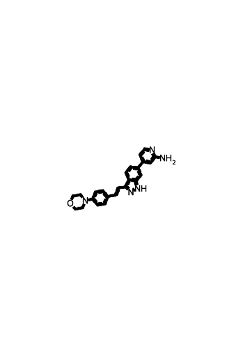 Nc1cc(-c2ccc3c(/C=C/c4ccc(N5CCOCC5)cc4)n[nH]c3c2)ccn1